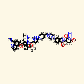 CC1(C)C(NC(=O)c2ccc(N3CCC(CN4CCN(c5ccc6c(c5)CN(C5CCC(=O)NC5=O)C6=O)CC4)CC3)nn2)C(C)(C)C1Oc1ccc(C#N)c2ncccc12